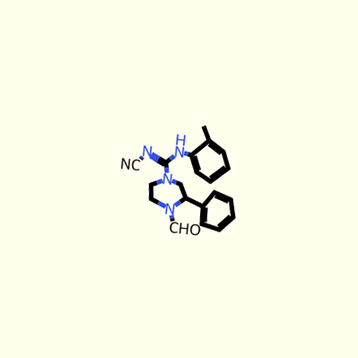 Cc1ccccc1N/C(=N/C#N)N1CCN(C=O)C(c2ccccc2)C1